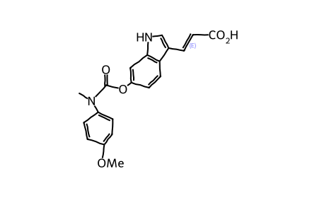 COc1ccc(N(C)C(=O)Oc2ccc3c(/C=C/C(=O)O)c[nH]c3c2)cc1